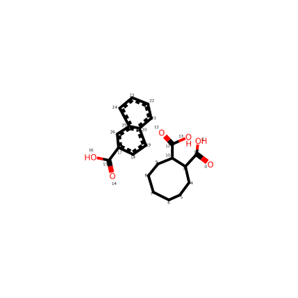 O=C(O)C1CCCCCCC1C(=O)O.O=C(O)c1ccc2ccccc2c1